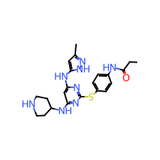 CCC(=O)Nc1ccc(Sc2nc(Nc3cc(C)n[nH]3)cc(NC3CCNCC3)n2)cc1